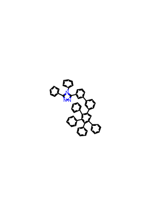 c1ccc(-c2cc(-c3cccc(-c4cccc(-c5nnc(-c6ccccc6)n5-c5ccccc5)c4)c3)c(-c3ccccc3)c(-c3ccccc3)c2-c2ccccc2)cc1